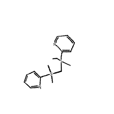 CS(C)(CS(C)(C)c1ccccn1)c1ccccn1